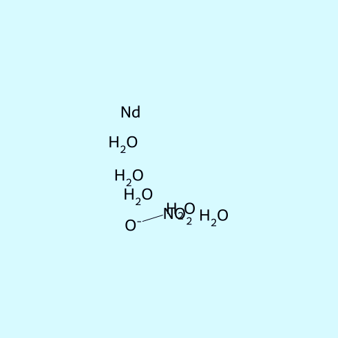 O.O.O.O.O.O=[N+]([O-])[O-].[Nd]